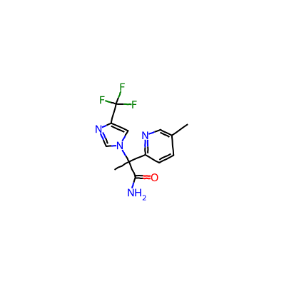 Cc1ccc(C(C)(C(N)=O)n2cnc(C(F)(F)F)c2)nc1